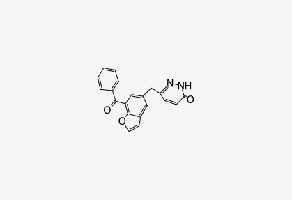 O=C(c1ccccc1)c1cc(Cc2ccc(=O)[nH]n2)cc2ccoc12